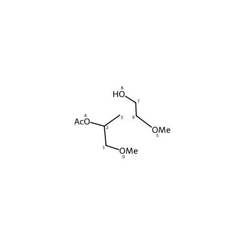 COCC(C)OC(C)=O.COCCO